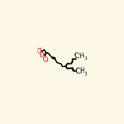 CCCCCC(CCCC)CCC/C=C/CC1CC(=O)OC1=O